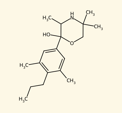 CCCc1c(C)cc(C2(O)OCC(C)(C)NC2C)cc1C